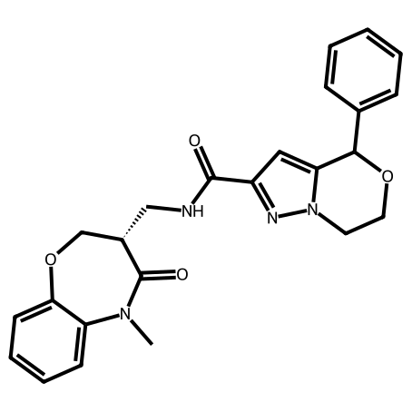 CN1C(=O)[C@@H](CNC(=O)c2cc3n(n2)CCOC3c2ccccc2)COc2ccccc21